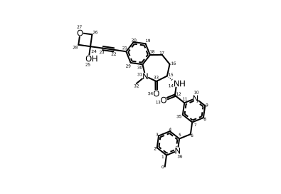 Cc1cccc(Cc2ccnc(C(=O)N[C@H]3CCc4ccc(C#CC5(O)COC5)cc4N(C)C3=O)c2)n1